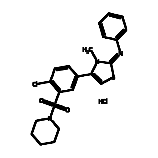 Cl.Cn1c(-c2ccc(Cl)c(S(=O)(=O)N3CCCCC3)c2)cs/c1=N/c1ccccc1